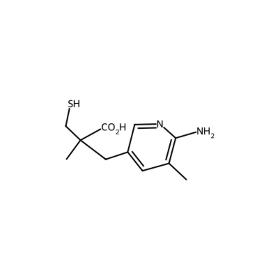 Cc1cc(CC(C)(CS)C(=O)O)cnc1N